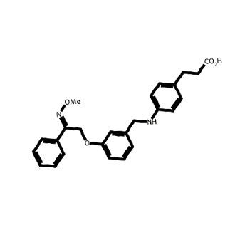 CO/N=C(\COc1cccc(CNc2ccc(CCC(=O)O)cc2)c1)c1ccccc1